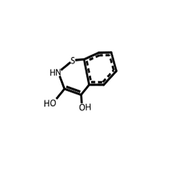 OC1=C(O)c2ccccc2SN1